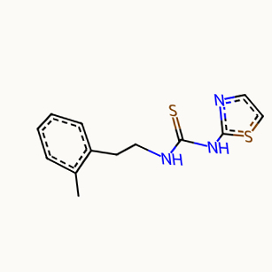 Cc1ccccc1CCNC(=S)Nc1nccs1